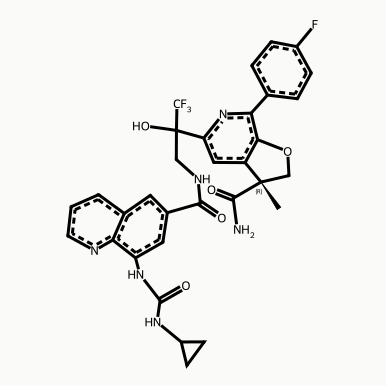 C[C@]1(C(N)=O)COc2c1cc(C(O)(CNC(=O)c1cc(NC(=O)NC3CC3)c3ncccc3c1)C(F)(F)F)nc2-c1ccc(F)cc1